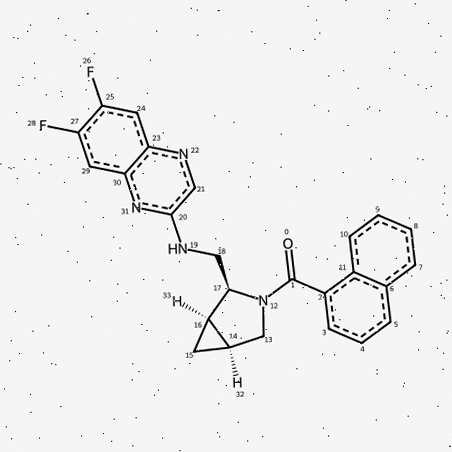 O=C(c1cccc2ccccc12)N1C[C@H]2C[C@H]2[C@H]1CNc1cnc2cc(F)c(F)cc2n1